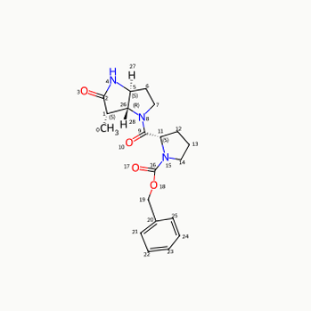 C[C@@H]1C(=O)N[C@H]2CCN(C(=O)[C@@H]3CCCN3C(=O)OCc3ccccc3)[C@@H]21